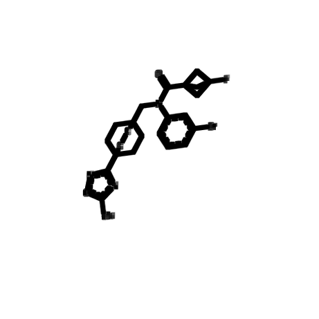 CC(C)(C)c1nc(C23CCC(CN(C(=O)C45CC(F)(C4)C5)c4cccc(Br)c4)(CC2)CC3)no1